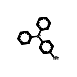 CCCc1ccc([S+](c2ccccc2)c2ccccc2)cc1